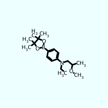 CCN(CC(C)OC)c1ccc(B2OC(C)(C)C(C)(C)O2)cc1